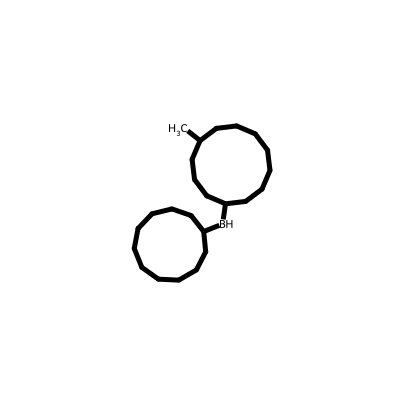 CC1CCCCCCCC(BC2CCCCCCCCCC2)CCC1